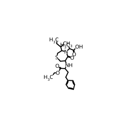 CCOC(=O)C(CCc1ccccc1)NC1CSCC(C(C)CC)N(C(C)C(=O)O)C1=O